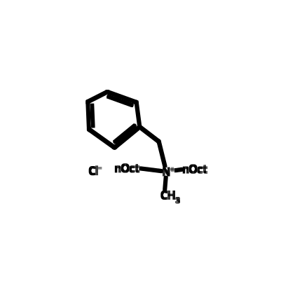 CCCCCCCC[N+](C)(CCCCCCCC)Cc1ccccc1.[Cl-]